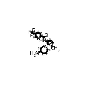 Cn1ncc(NC(=O)c2ccc(C(F)(F)F)cn2)c1N1CCCC(N)CC1